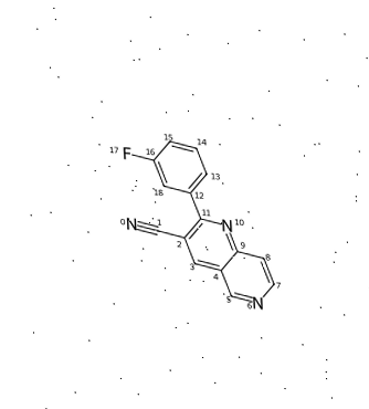 N#Cc1cc2cnccc2nc1-c1cccc(F)c1